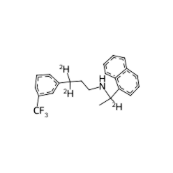 [2H]C([2H])(CCNC([2H])(C)c1cccc2ccccc12)c1cccc(C(F)(F)F)c1